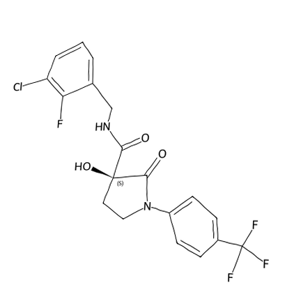 O=C(NCc1cccc(Cl)c1F)[C@@]1(O)CCN(c2ccc(C(F)(F)F)cc2)C1=O